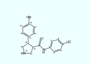 O=C(Nc1ccc(Cl)cc1)C1CNCC1c1ccc(Br)cc1